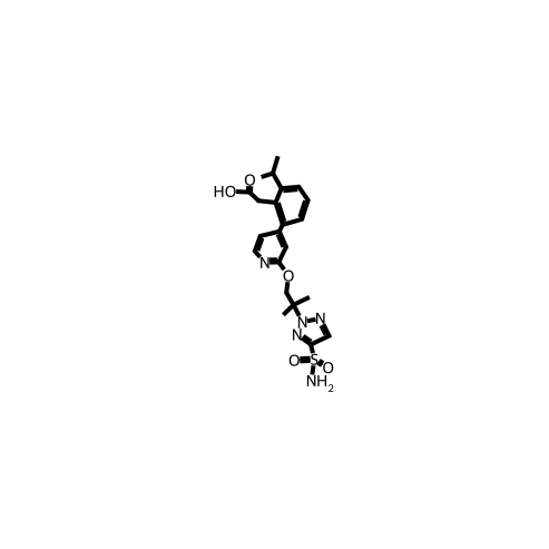 CC(C)c1cccc(-c2ccnc(OCC(C)(C)n3ncc(S(N)(=O)=O)n3)c2)c1CC(=O)O